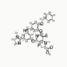 COC(=O)C(C)N(C)c1c(F)c(Oc2cccc(C3=NCCN3C)c2)nc(Oc2cc(C#N)ccc2OCc2ccccc2)c1F